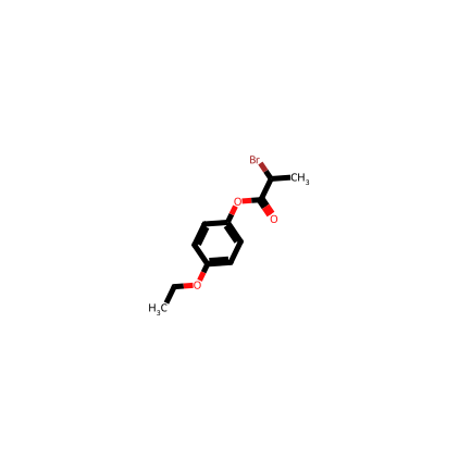 CCOc1ccc(OC(=O)C(C)Br)cc1